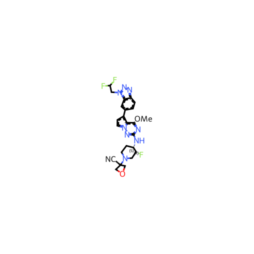 COc1nc(N[C@H]2CCN(C3(C#N)COC3)C[C@H]2F)nn2ccc(-c3ccc4nnn(CC(F)F)c4c3)c12